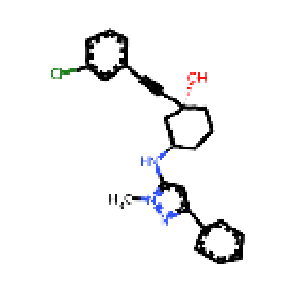 Cn1nc(-c2ccccc2)cc1N[C@@H]1CCC[C@](O)(C#Cc2cccc(Cl)c2)C1